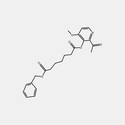 COc1ccnc(C(C)=O)c1OC(=O)CCCCCC(=O)OCc1ccccc1